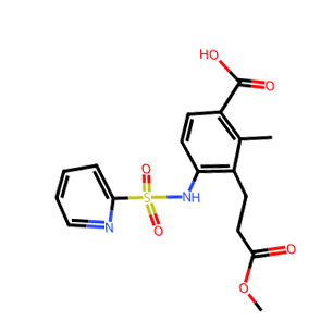 COC(=O)CCc1c(NS(=O)(=O)c2ccccn2)ccc(C(=O)O)c1C